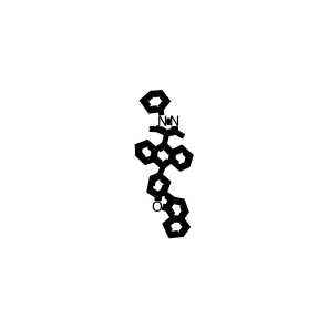 Cc1nn(-c2ccccc2)c(C)c1-c1c2ccccc2c(-c2ccc3oc4c5ccccc5ccc4c3c2)c2ccccc12